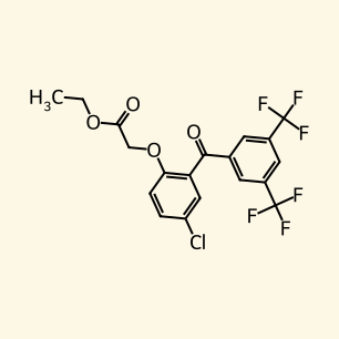 CCOC(=O)COc1ccc(Cl)cc1C(=O)c1cc(C(F)(F)F)cc(C(F)(F)F)c1